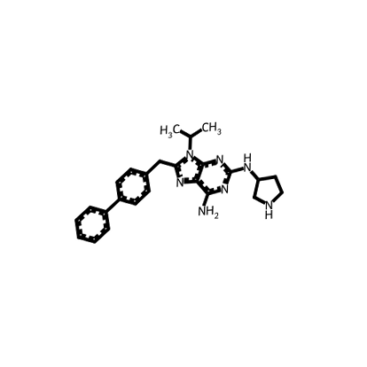 CC(C)n1c(Cc2ccc(-c3ccccc3)cc2)nc2c(N)nc(NC3CCNC3)nc21